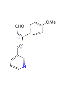 COc1ccc(C(=C\C=O)/C=C/c2cccnc2)cc1